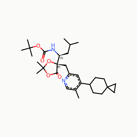 Cc1cnc(C[C@]2([C@H](CC(C)C)NC(=O)OC(C)(C)C)OC(C)(C)OC2=O)cc1C1CCC2(CC1)CC2